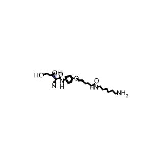 C#CCC/C(O)=C(\C#N)C(=O)Nc1ccc(OCCCCCC(=O)NCCCCCCN)cc1